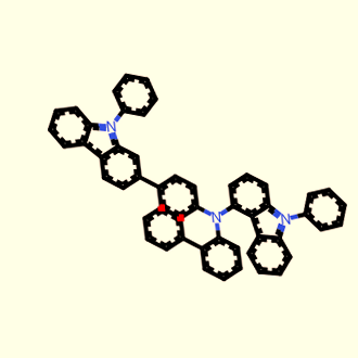 c1ccc(-c2ccccc2N(c2ccc(-c3ccc4c5ccccc5n(-c5ccccc5)c4c3)cc2)c2cccc3c2c2ccccc2n3-c2ccccc2)cc1